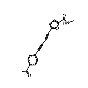 CNC(=O)c1ccc(C#CC#Cc2ccc(C(C)=O)cc2)o1